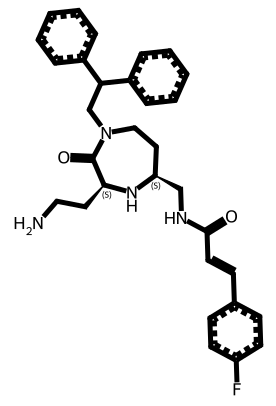 NCC[C@@H]1N[C@H](CNC(=O)C=Cc2ccc(F)cc2)CCN(CC(c2ccccc2)c2ccccc2)C1=O